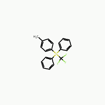 Cc1ccc(S(c2ccccc2)(c2ccccc2)C(F)(F)F)cc1